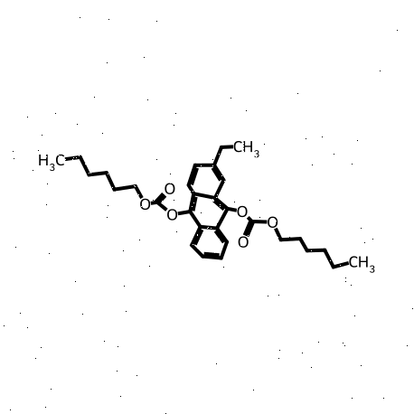 CCCCCCOC(=O)Oc1c2ccccc2c(OC(=O)OCCCCCC)c2cc(CC)ccc12